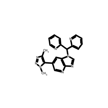 Cc1nnn(C)c1-c1cnc2ncn(C(c3ccccn3)c3ccccn3)c2c1